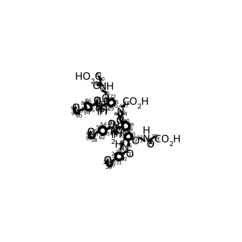 [2H]C(C)(C)N(Cc1ccccc1OCCNC(=O)CC(=O)O)C(=O)c1ccc(-c2ccco2)cc1.[2H]C([2H])(c1ccccc1OC1CN(CCC(=O)O)C1)N(C(=O)c1ccc(-c2ccco2)cc1)C(C)C.[2H]C([2H])(c1ccccc1OCCNC(=O)CC(=O)O)N(C(=O)c1ccc(-c2ccco2)cc1)C(C)C